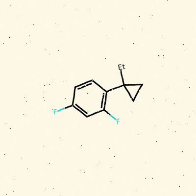 CCC1(c2ccc(F)cc2F)CC1